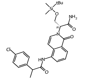 CC(C(=O)Nc1cccc2c(=O)n([C@H](CO[Si](C)(C)C(C)(C)C)C(N)=O)ccc12)c1ccc(Cl)cc1